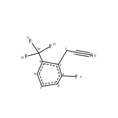 N#CCc1c(F)cccc1C(F)(F)F